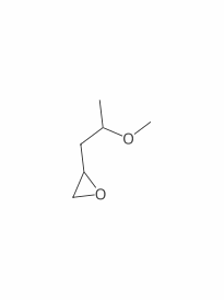 COC(C)CC1CO1